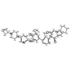 Cn1cc(-c2ccnc(-n3ccn4c5c(cc4c3=O)CCCC5)c2CO)cc(Nc2ccc(N3CCN(C4COC4)CC3)cn2)c1=O